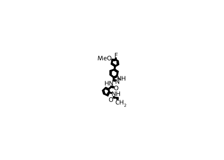 C=CC(=O)Nc1ccccc1C(=O)Nc1n[nH]c2cc(-c3ccc(F)c(OC)c3)ccc12